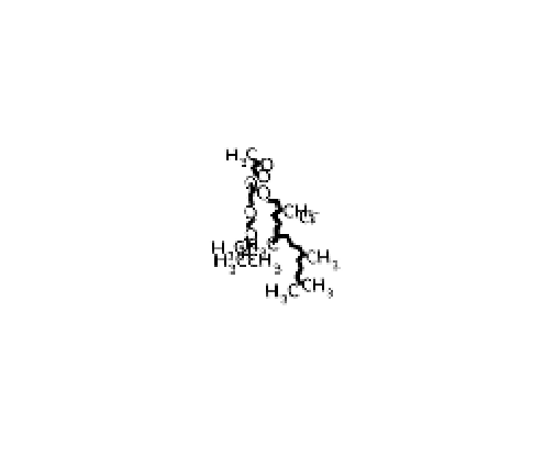 CC(=O)CC(=O)OC(CCOCCOCC[N+](C)(C)C)OCCC(C)CCCC(C)CCCC(C)CCCC(C)C.[Cl-]